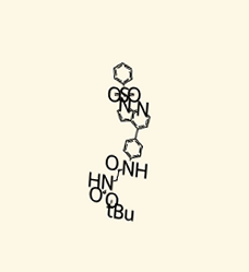 CC(C)(C)OC(=O)NCC(=O)Nc1ccc(-c2ccnc3c2ccn3S(=O)(=O)c2ccccc2)cc1